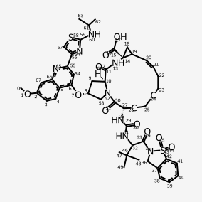 COc1ccc2c(O[C@@H]3C[C@H]4C(=O)N[C@]5(C(=O)O)CC5/C=C\CCCCC[C@H](NC(=O)NC(C(=O)N5Cc6ccccc6S5(=O)=O)C(C)(C)C)C(=O)N4C3)cc(-c3csc(NC(C)C)n3)nc2c1